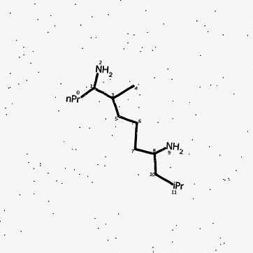 CCCC(N)C(C)CCCC(N)CC(C)C